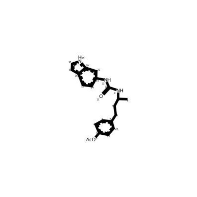 CC(=O)Oc1ccc(CCC(C)NC(=O)Nc2ccc3cc[nH]c3c2)cc1